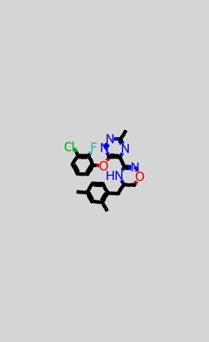 Cc1ccc(CC2CON=C(c3nc(C)nnc3Oc3cccc(Cl)c3F)N2)c(C)c1